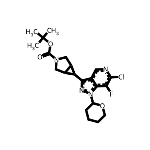 CC(C)(C)OC(=O)N1CC2C(C1)C2c1nn(C2CCCCO2)c2c(F)c(Cl)ncc12